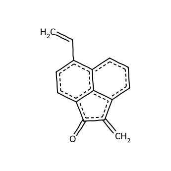 C=Cc1ccc2c(=O)c(=C)c3cccc1c32